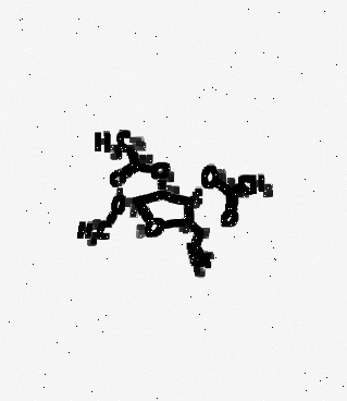 CO[C@H]1O[C@H](CBr)[C@@H](OC(C)=O)[C@H]1OC(C)=O